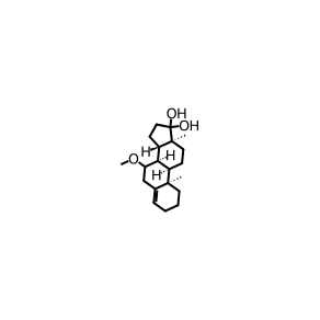 COC1CC2=CCCC[C@]2(C)[C@@H]2CC[C@@]3(C)[C@@H](CCC3(O)O)[C@H]12